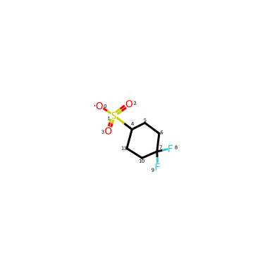 [O]S(=O)(=O)C1CCC(F)(F)CC1